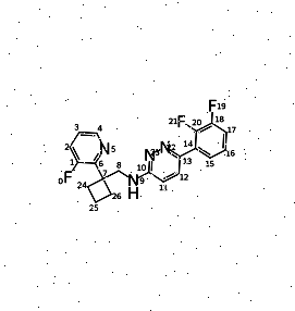 Fc1cccnc1C1(CNc2ccc(-c3cccc(F)c3F)nn2)CCC1